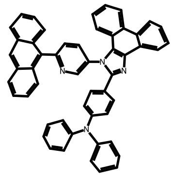 c1ccc(N(c2ccccc2)c2ccc(-c3nc4c5ccccc5c5ccccc5c4n3-c3ccc(-c4c5ccccc5cc5ccccc45)nc3)cc2)cc1